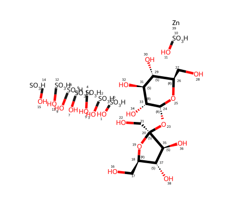 O=S(=O)(O)O.O=S(=O)(O)O.O=S(=O)(O)O.O=S(=O)(O)O.O=S(=O)(O)O.O=S(=O)(O)O.O=S(=O)(O)O.O=S(=O)(O)O.OC[C@H]1O[C@@](CO)(O[C@H]2O[C@H](CO)[C@@H](O)[C@H](O)[C@H]2O)[C@@H](O)[C@@H]1O.[Zn]